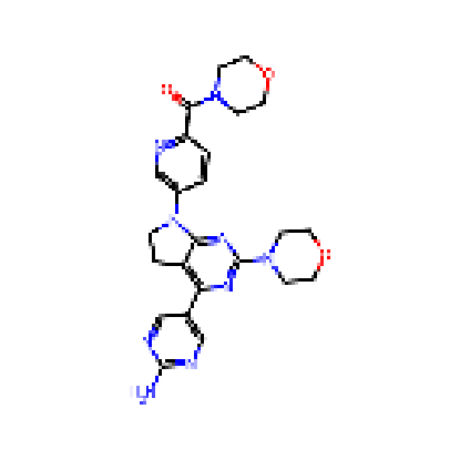 Nc1ncc(-c2nc(N3CCOCC3)nc3c2CCN3c2ccc(C(=O)N3CCOCC3)nc2)cn1